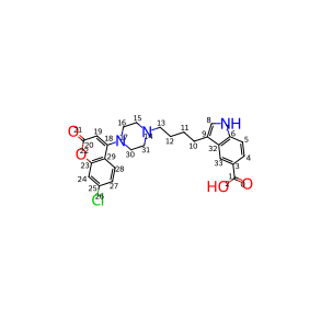 O=C(O)c1ccc2[nH]cc(CCCCN3CCN(c4cc(=O)oc5cc(Cl)ccc45)CC3)c2c1